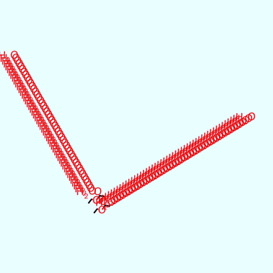 CCOC(C)=O.CCOC(C)=O.O.O.O.O.O.O.O.O.O.O.O.O.O.O.O.O.O.O.O.O.O.O.O.O.O.O.O.O.O.O.O.O.O.O.O.O.O.O.O.O.O.O.O.O.O.O.O.O.O.O.O.O.O.O.O.O.O.O.O.O.O.O.O.O.O.O.O.O.O.O.O.O.O.O.O.O.O.O.O.O.O.O.O.O.O.O.O.O.O.O.O.O.O.O.O.O.O.O